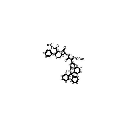 CON=C(C(=O)NC1C(=O)N2C(C(=O)OC(C)(C)C)=C(c3ccccc3)SCC12)c1csc(NC(c2ccccc2)(c2ccccc2)c2ccccc2)n1